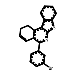 Brc1cccc(-c2nc3sc4ccccc4c3c3c2C=CCC3)c1